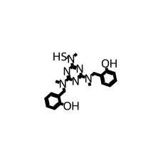 CN(S)c1nc(N(C)Cc2ccccc2O)nc(N(C)Cc2ccccc2O)n1